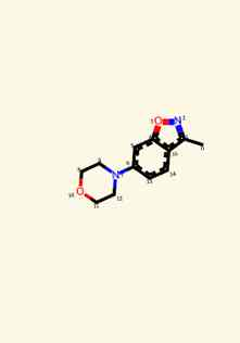 Cc1noc2cc(N3CCOCC3)ccc12